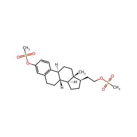 C[C@]12CC[C@@H]3c4ccc(OS(C)(=O)=O)cc4CC[C@H]3[C@@H]1CC[C@@H]2CCOS(C)(=O)=O